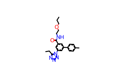 CCCOCCNC(=O)c1cc(-c2ccc(C)cc2)cc(-n2nnnc2CC)c1